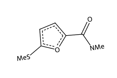 CNC(=O)c1ccc(SC)o1